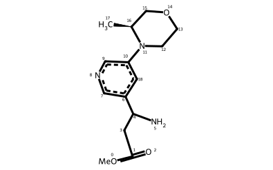 COC(=O)CC(N)c1cncc(N2CCOC[C@@H]2C)c1